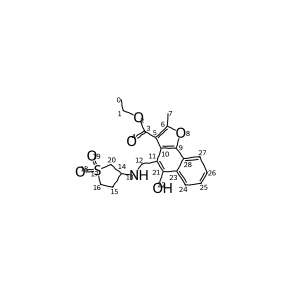 CCOC(=O)c1c(C)oc2c1c(CNC1CCS(=O)(=O)C1)c(O)c1ccccc12